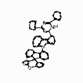 c1ccc(C2=NC(c3cccc4c3c3ccccc3n4-c3cccc4c3-c3ccccc3C43c4ccccc4Oc4ccccc43)NC(c3ccccc3)=N2)cc1